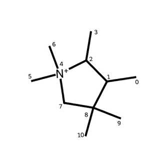 CC1C(C)[N+](C)(C)CC1(C)C